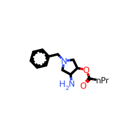 CCCC(=O)OC1CN(Cc2ccccc2)CC1N